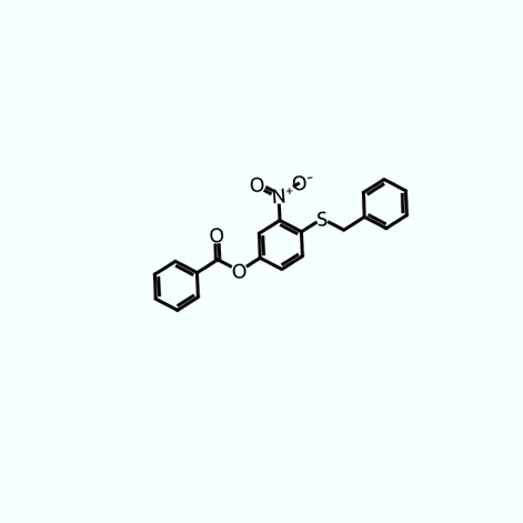 O=C(Oc1ccc(SCc2ccccc2)c([N+](=O)[O-])c1)c1ccccc1